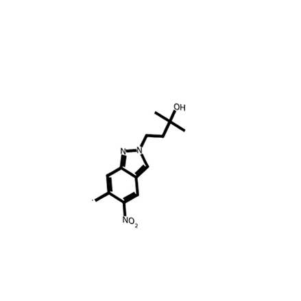 [CH2]c1cc2nn(CCC(C)(C)O)cc2cc1[N+](=O)[O-]